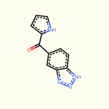 O=C(c1ccc2[nH]nnc2c1)c1ccc[nH]1